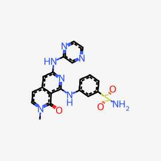 Cn1ccc2cc(Nc3cnccn3)nc(Nc3cccc(S(N)(=O)=O)c3)c2c1=O